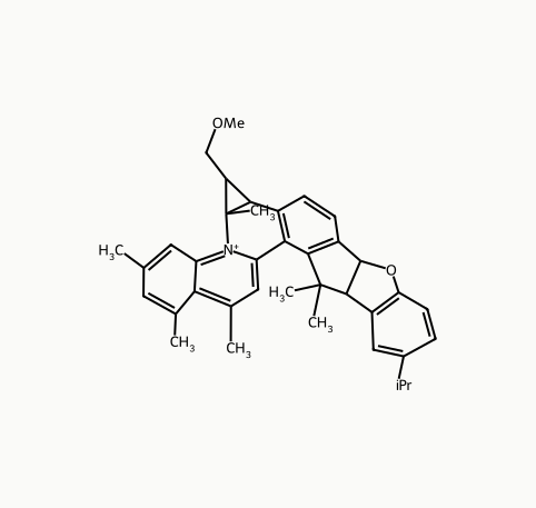 COCC1C2c3ccc4c(c3-c3cc(C)c5c(C)cc(C)cc5[n+]3C12C)C(C)(C)C1c2cc(C(C)C)ccc2OC41